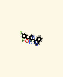 Nc1c(C(=O)c2ccc(F)cc2F)ccnc1-c1cccc2ccccc12